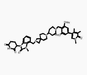 COc1cc(-c2cn(C)c(=O)c(C)c2C)cc(OC)c1CN1CCC(N2CCC3(CC2)CN(Cc2cccc4c2n(C)c(=O)n4C2CCC(=O)NC2=O)C3)CC1